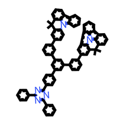 CC1(C)c2cc(-c3cccc(-c4cc(-c5ccc(-c6nc(-c7ccccc7)nc(-c7ccccc7)n6)cc5)cc(-c5cccc(-c6cc7c8c(c6)c6cccc9c%10cccc(c%10n8c96)C7(C)C)c5)c4)c3)ccc2-n2c3ccccc3c3cccc1c32